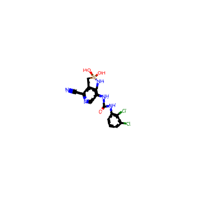 N#Cc1ncc(NC(=O)Nc2cccc(Cl)c2Cl)c2c1CS(O)(O)N2